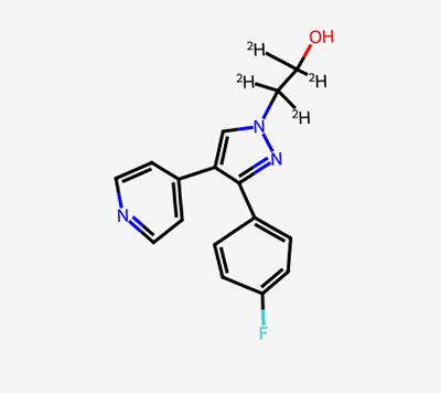 [2H]C([2H])(O)C([2H])([2H])n1cc(-c2ccncc2)c(-c2ccc(F)cc2)n1